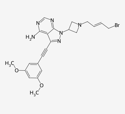 COc1cc(C#Cc2nn(C3CN(CC=CCBr)C3)c3ncnc(N)c23)cc(OC)c1